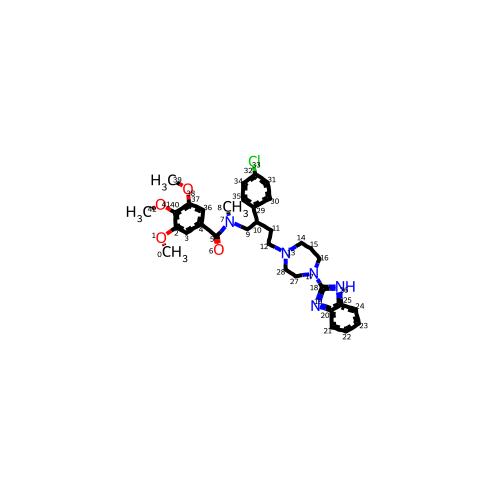 COc1cc(C(=O)N(C)CC(CCN2CCCN(c3nc4ccccc4[nH]3)CC2)c2ccc(Cl)cc2)cc(OC)c1OC